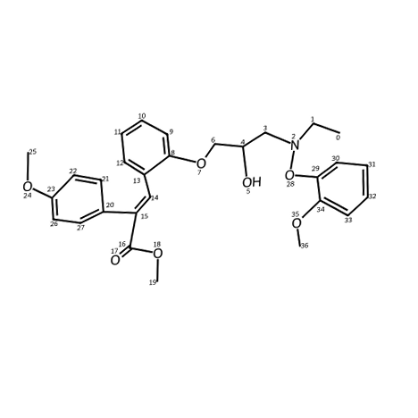 CCN(CC(O)COc1ccccc1/C=C(/C(=O)OC)c1ccc(OC)cc1)Oc1ccccc1OC